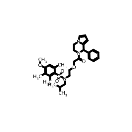 COc1cc(C)c(S(=O)(=O)N(CCOCC(=O)N2CCn3cccc3C2c2ccccc2)CC(C)C)c(C)c1C